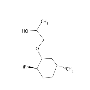 CC(O)CO[C@@H]1C[C@H](C)CC[C@H]1C(C)C